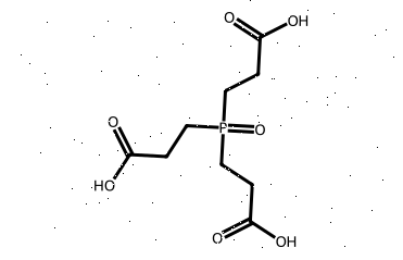 O=C(O)CCP(=O)(CCC(=O)O)CCC(=O)O